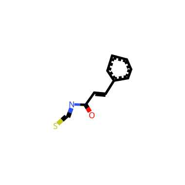 O=C(C=Cc1ccccc1)N=C=S